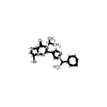 CC(c1ccccc1)n1cc(-c2nn3c(Br)cnc3c(=O)n2C(C)C)cn1